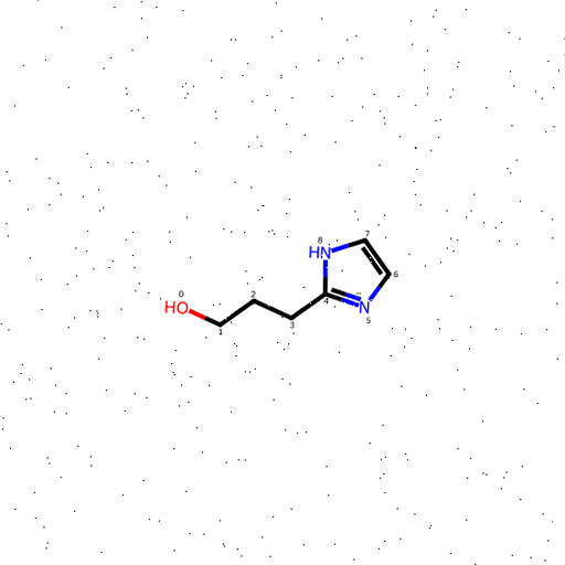 OCCCc1n[c]c[nH]1